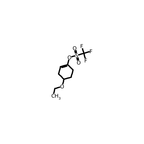 CCOC1CC=C(OS(=O)(=O)C(F)(F)F)CC1